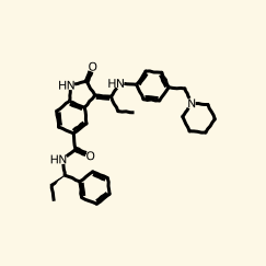 CC/C(Nc1ccc(CN2CCCCC2)cc1)=C1/C(=O)Nc2ccc(C(=O)N[C@H](CC)c3ccccc3)cc21